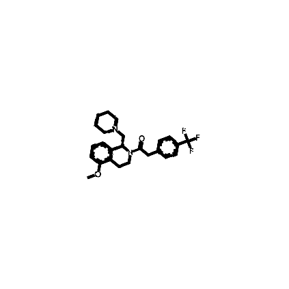 COc1cccc2c1CCN(C(=O)Cc1ccc(C(F)(F)F)cc1)C2CN1CCCCC1